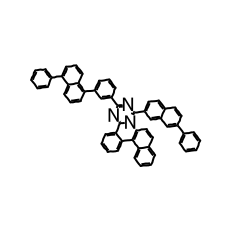 c1ccc(-c2ccc3ccc(-c4nc(-c5cccc(-c6cccc7c(-c8ccccc8)cccc67)c5)nc(-c5ccccc5-c5cccc6ccccc56)n4)cc3c2)cc1